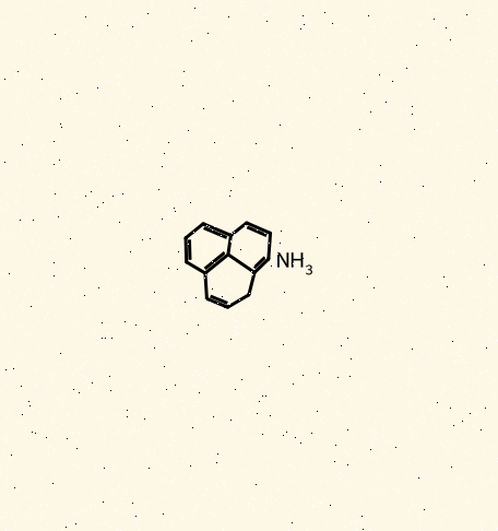 C1=Cc2cccc3cccc(c23)C1.N